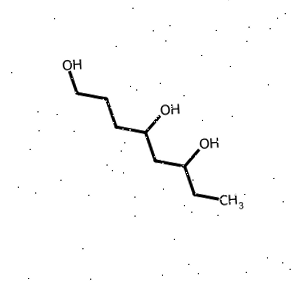 CCC(O)CC(O)CCCO